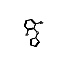 Brc1cccc(Br)c1On1c[c]cc1